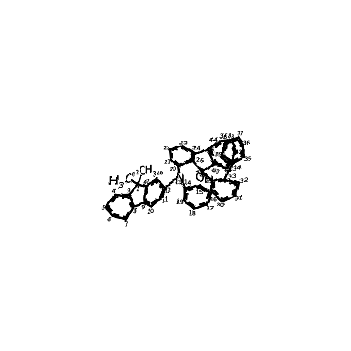 CC1(C)c2ccccc2-c2ccc(N(c3ccccc3)c3cccc4c3C(O)(c3ccccc3-c3ccccc3)c3ccccc3-4)cc21